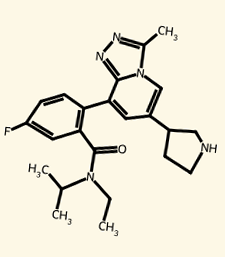 CCN(C(=O)c1cc(F)ccc1-c1cc(C2CCNC2)cn2c(C)nnc12)C(C)C